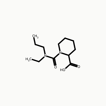 CCCN(CC)C(=O)N1CCCCC1C(=O)O